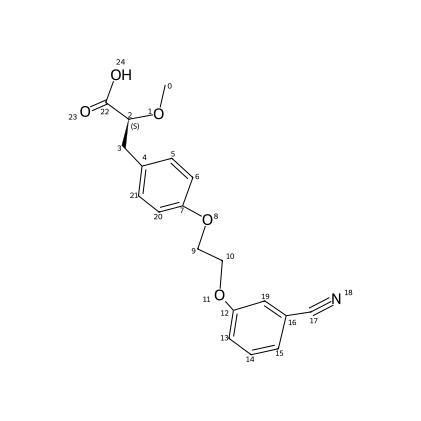 CO[C@@H](Cc1ccc(OCCOc2cccc(C#N)c2)cc1)C(=O)O